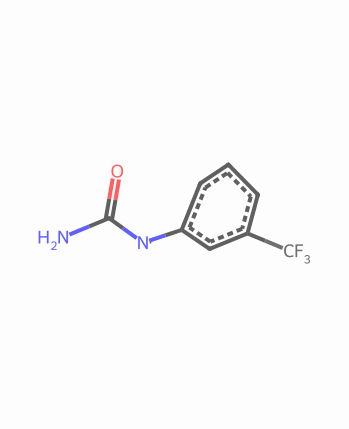 NC(=O)[N]c1cccc(C(F)(F)F)c1